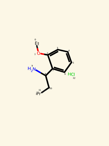 CCOc1ccccc1C(N)CC(C)C.Cl